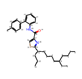 CCCCC(CC)CCCCC(CCC)c1nc(C(=O)Nc2ccccc2-c2ccc(C)cc2)cs1